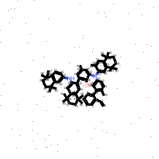 C=Cc1ccccc1-c1c(C)ccc2c1Bc1c(-c3cc4c(cc3Nc3ccc5c(c3)C(C)(C)CCC5(C)C)C(C)(C)CCC4(C)C)cc(C)cc1N2c1cc2c(cc1C)C(C)(C)CCC2(C)C